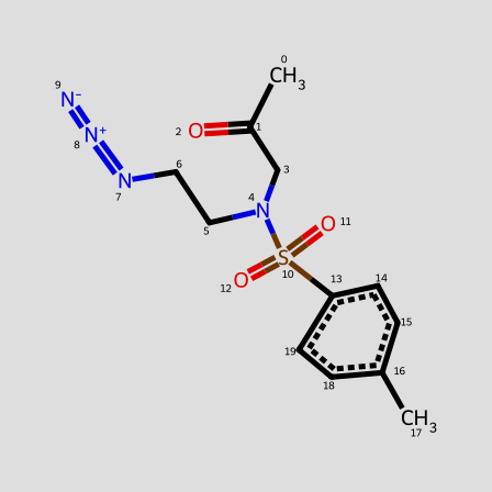 CC(=O)CN(CCN=[N+]=[N-])S(=O)(=O)c1ccc(C)cc1